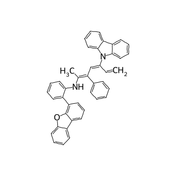 C=C/C(=C\C(=C(/C)Nc1ccccc1-c1cccc2c1oc1ccccc12)c1ccccc1)n1c2ccccc2c2ccccc21